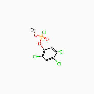 CCOP(=O)(Cl)Oc1cc(Cl)c(Cl)cc1Cl